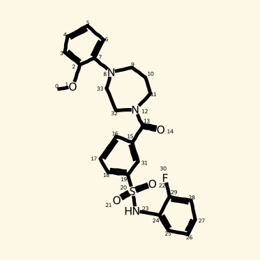 COc1ccccc1N1CCCN(C(=O)c2cccc(S(=O)(=O)Nc3ccccc3F)c2)CC1